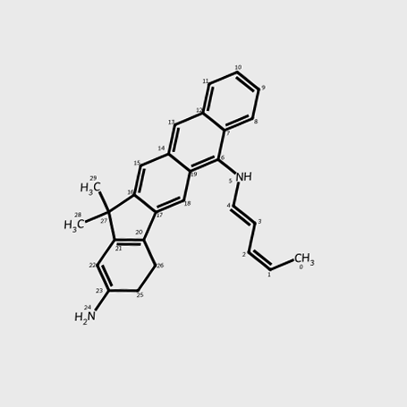 C/C=C\C=C\Nc1c2ccccc2cc2cc3c(cc12)C1=C(C=C(N)CC1)C3(C)C